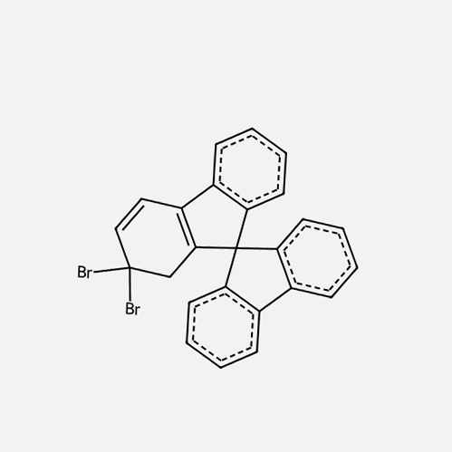 BrC1(Br)C=CC2=C(C1)C1(c3ccccc32)c2ccccc2-c2ccccc21